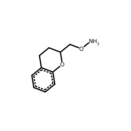 NOCC1CCc2ccccc2O1